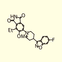 CCc1c(OC)c(N2CCC(c3noc4cc(F)ccc34)CC2)cc2c1C(=O)NC2=O